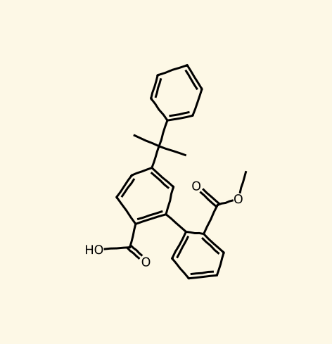 COC(=O)c1ccccc1-c1cc(C(C)(C)c2ccccc2)ccc1C(=O)O